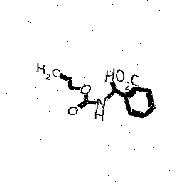 C=CCOC(=O)NC(C(=O)O)c1ccccc1